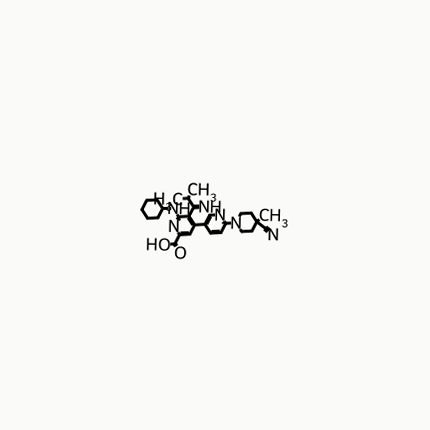 CC(C)C(=N)c1c(-c2ccc(N3CCC(C)(C#N)CC3)nc2)cc(C(=O)O)nc1NC1CCCCC1